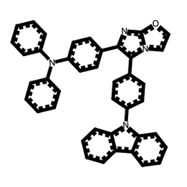 c1ccc(N(c2ccccc2)c2ccc(-c3nc4occn4c3-c3ccc(-n4c5ccccc5c5ccccc54)cc3)cc2)cc1